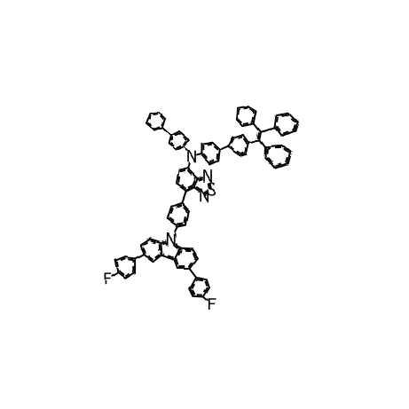 Fc1ccc(-c2ccc3c(c2)c2cc(-c4ccc(F)cc4)ccc2n3-c2ccc(-c3ccc(N(c4ccc(-c5ccccc5)cc4)c4ccc(-c5ccc(C(=C(c6ccccc6)c6ccccc6)c6ccccc6)cc5)cc4)c4nsnc34)cc2)cc1